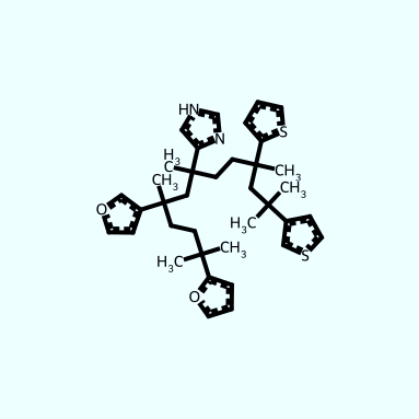 CC(C)(CC(C)(CCC(C)(CC(C)(CCC(C)(C)c1ccco1)c1ccoc1)c1c[nH]cn1)c1cccs1)c1ccsc1